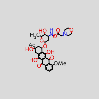 COc1cccc2c1C(=O)c1c(O)c3c(c(O)c1C2=O)C[C@@](O)(C(C)=O)C[C@@H]3OC1CC(NOC(=O)CN2CCOCC2)C(O)C(C)O1